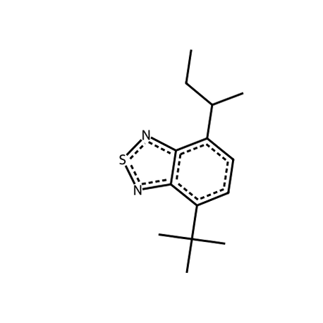 CCC(C)c1ccc(C(C)(C)C)c2nsnc12